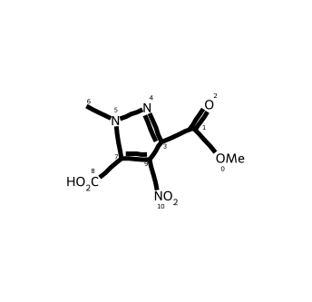 COC(=O)c1nn(C)c(C(=O)O)c1[N+](=O)[O-]